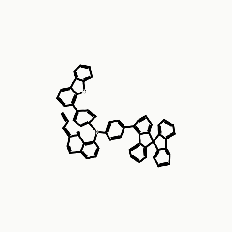 C=C/C=c1/ccc2cccc(N(c3ccc(-c4cccc5c4-c4ccccc4C54c5ccccc5-c5ccccc54)cc3)c3ccc(-c4cccc5c4oc4ccccc45)cc3)c2c1=C